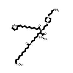 CCCCC/C=C\C/C=C\CCCCCCCC(=O)N(CCCN1CCN(CCCN)CC1)C(CCCCCOC(=O)CCCCCCC/C=C\CCCCCCCC)C(=O)NC(C)(C)C